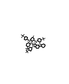 Cc1cc2c3c(c1)N(c1ccc(C(C)(C)C)cc1)c1c(n(-c4ccc(C(C)(C)C)cc4)c4ccc5c6ccccc6sc5c14)N3c1cc(C(C)(C)C)ccc1N2c1ccc(C(C)(C)C)cc1